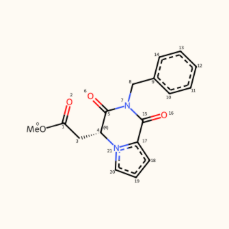 COC(=O)C[C@@H]1C(=O)N(Cc2ccccc2)C(=O)c2cccn21